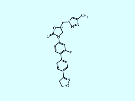 Cc1cn(C[C@H]2CN(c3ccc(-c4ccc(C5=NOCC5)cc4)c(F)c3)C(=O)O2)nn1